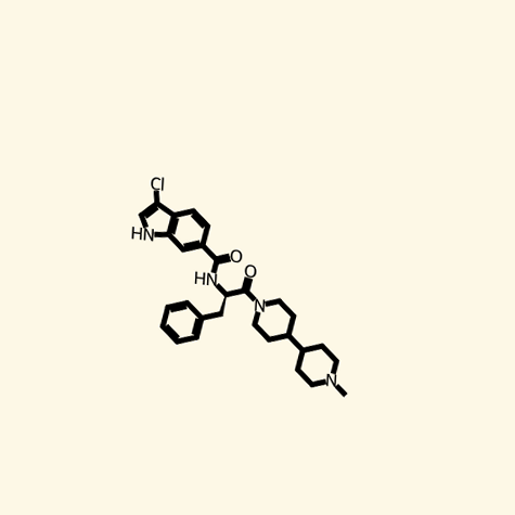 CN1CCC(C2CCN(C(=O)[C@@H](Cc3ccccc3)NC(=O)c3ccc4c(Cl)c[nH]c4c3)CC2)CC1